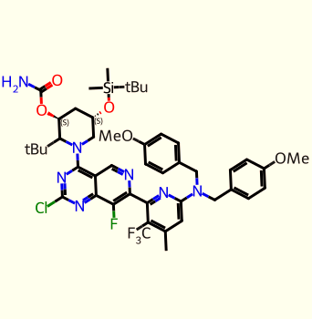 COc1ccc(CN(Cc2ccc(OC)cc2)c2cc(C)c(C(F)(F)F)c(-c3ncc4c(N5C[C@@H](O[Si](C)(C)C(C)(C)C)C[C@H](OC(N)=O)C5C(C)(C)C)nc(Cl)nc4c3F)n2)cc1